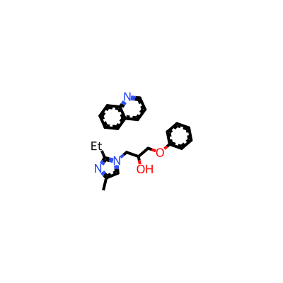 CCc1nc(C)cn1CC(O)COc1ccccc1.c1ccc2ncccc2c1